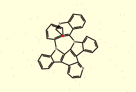 c1ccc(-n2c3ccccc3c3c4cccnc4c4c5ccccc5n(-c5ncnc6ccccc56)c4c32)cc1